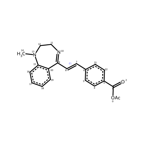 CC(=O)OC(=O)c1ccc(/C=C/C2=NCCN(C)c3ccccc32)cc1